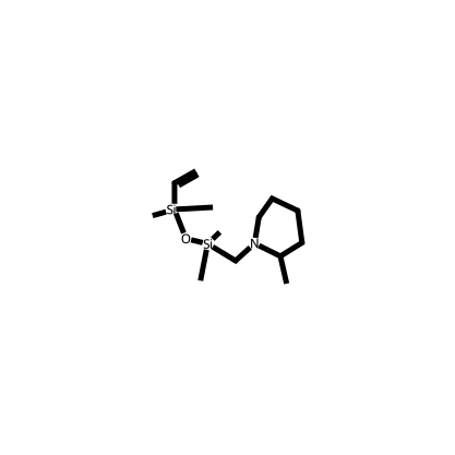 C=C[Si](C)(C)O[Si](C)(C)CN1CCCCC1C